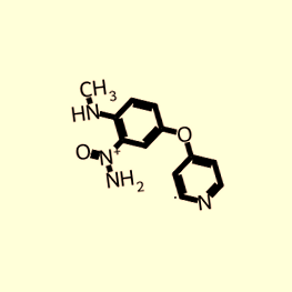 CNc1ccc(Oc2c[c]ncc2)cc1[N+](N)=O